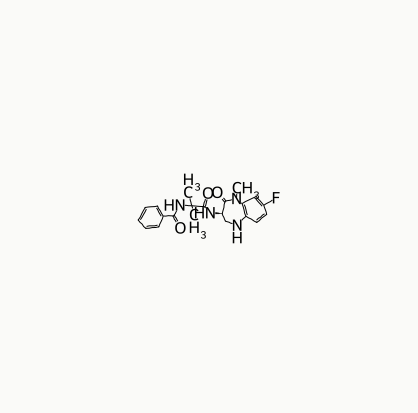 CN1C(=O)[C@H](NC(=O)C(C)(C)NC(=O)c2ccccc2)CNc2ccc(F)cc21